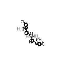 Cn1c(-c2cncc(C(=O)NC(N)c3cncc(-c4cc5ccc(Cl)cc5n4C)c3)c2)cc2ccc(Cl)cc21